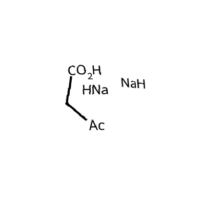 CC(=O)CC(=O)O.[NaH].[NaH]